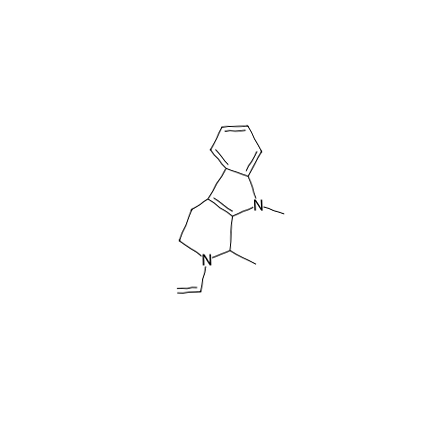 C=CN1CCc2c(n(C)c3ccccc23)C1C